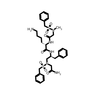 CN(CC(=O)N[C@@H](CCCCN)C(=O)N[C@@H](Cc1ccccc1)CN(CC(N)=O)S(=O)(=O)Cc1ccccc1)S(=O)(=O)Cc1ccccc1